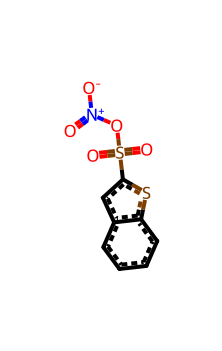 O=[N+]([O-])OS(=O)(=O)c1cc2ccccc2s1